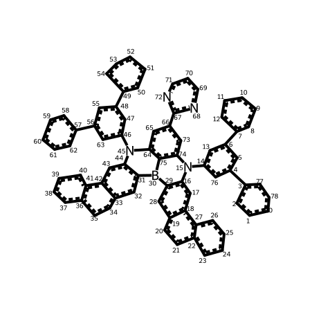 c1ccc(-c2cc(-c3ccccc3)cc(N3c4cc5c(ccc6ccccc65)cc4B4c5cc6ccc7ccccc7c6cc5N(c5cc(-c6ccccc6)cc(-c6ccccc6)c5)c5cc(-c6ncccn6)cc3c54)c2)cc1